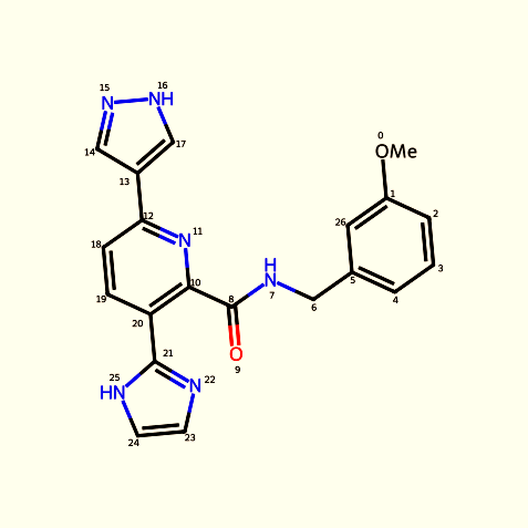 COc1cccc(CNC(=O)c2nc(-c3cn[nH]c3)ccc2-c2ncc[nH]2)c1